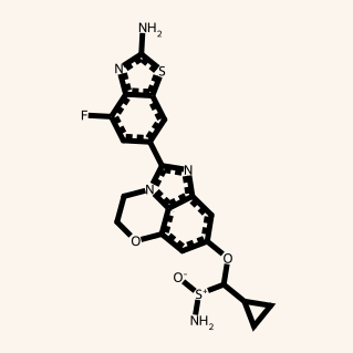 Nc1nc2c(F)cc(-c3nc4cc(OC(C5CC5)[S+](N)[O-])cc5c4n3CCO5)cc2s1